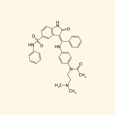 CC(=O)N(CCN(C)C)c1ccc(NC(=C2C(=O)Nc3ccc(S(=O)(=O)Nc4ccccc4)cc32)c2ccccc2)cc1